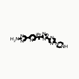 CC(C)[C@](C)(c1ccc(-c2cnc(N)nc2)nc1)c1noc(-c2cnc(N3CCNCC3)cn2)n1